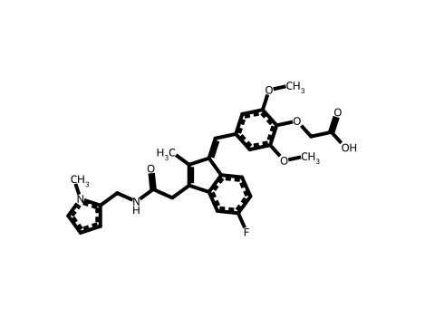 COc1cc(/C=C2/C(C)=C(CC(=O)NCc3cccn3C)c3cc(F)ccc32)cc(OC)c1OCC(=O)O